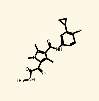 Cc1c(C(=O)Nc2ccc(F)c(C3CC3)c2)c(C)n(C)c1C(=O)C(=O)NC(C)(C)C